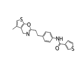 Cc1csc2c1CN=C(CCc1ccc(NC(=O)c3ccsc3)cc1)O2